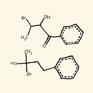 CC(C)C(C)(O)CCc1ccccc1.CC(C)C(C)C(O)C(=O)c1ccccc1